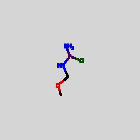 COCNP(N)Cl